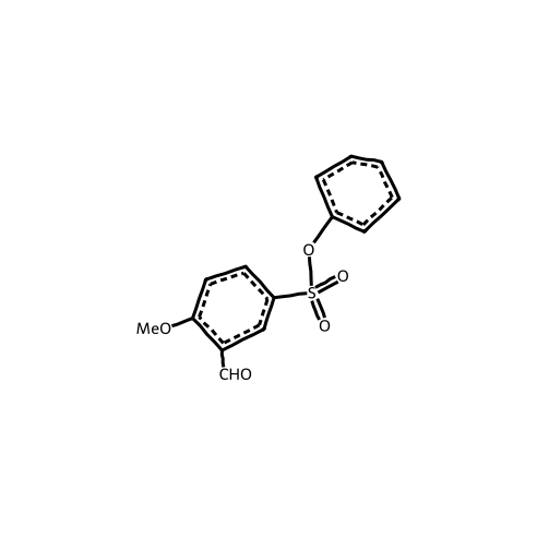 COc1ccc(S(=O)(=O)Oc2ccccc2)cc1C=O